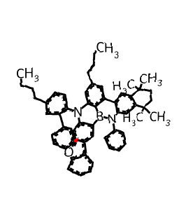 CCCCc1ccc(N2c3cc4oc5ccccc5c4cc3B3c4c(cc(CCCC)cc42)-c2cc4c(cc2N3c2ccccc2)C(C)(C)CCC4(C)C)c(-c2ccccc2)c1